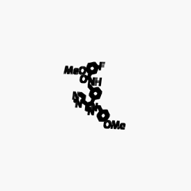 COc1ccc(Cn2ncc(-c3ccncn3)c2-c2cccc(CNC(=O)c3cc(F)ccc3OC)c2)cc1